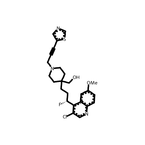 COc1ccc2ncc(Cl)c([C@H](F)CCC3(CO)CCN(CC#Cc4cncs4)CC3)c2c1